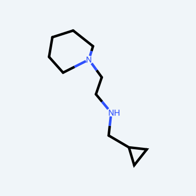 C1CCN(CCNCC2CC2)CC1